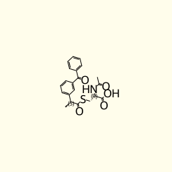 CC(=O)N[C@@H](CSC(=O)[C@@H](C)c1cccc(C(=O)c2ccccc2)c1)C(=O)O